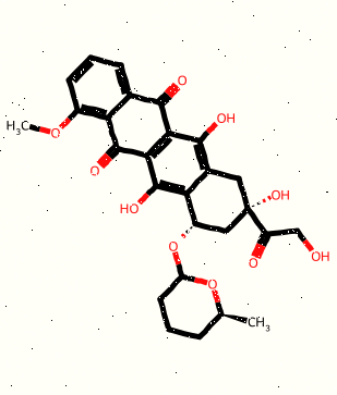 COc1cccc2c1C(=O)c1c(O)c3c(c(O)c1C2=O)C[C@@](O)(C(=O)CO)C[C@@H]3OC1CCC[C@H](C)O1